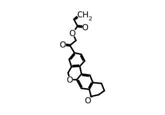 C=CC(=O)OCC(=O)c1ccc2c(c1)COc1cc3c(cc1-2)CCCC3=O